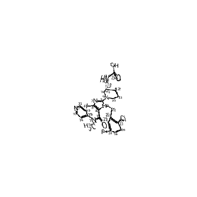 CN(C(=O)c1c(I)nc(N2CCC[C@@H](NC(=O)O)C2)n1Cc1cc(F)ccc1Cl)c1ccncc1